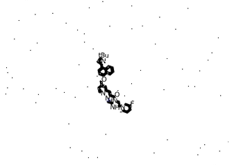 CC(C)(C)C1=NC(c2ccc(OCc3ccnc(C=C(/N=C\CN)C(=O)NCCN4CCC[C@H](F)C4)c3)c3ccccc23)=C1